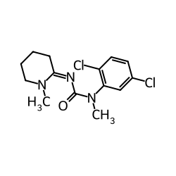 CN1CCCC/C1=N/C(=O)N(C)c1cc(Cl)ccc1Cl